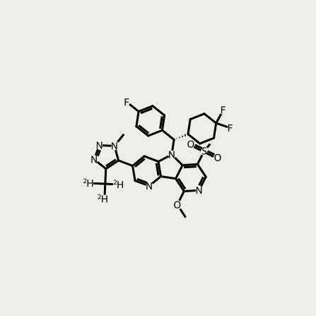 [2H]C([2H])([2H])c1nnn(C)c1-c1cnc2c3c(OC)ncc(S(C)(=O)=O)c3n([C@H](c3ccc(F)cc3)C3CCC(F)(F)CC3)c2c1